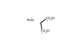 CCC[C@H](C)C(C(=O)OCC)C(=O)OCC